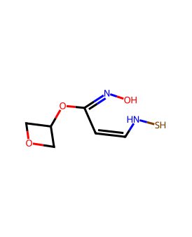 O/N=C(\C=C/NS)OC1COC1